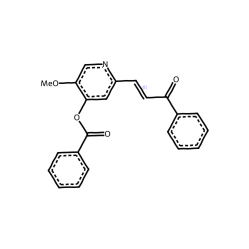 COc1cnc(/C=C/C(=O)c2ccccc2)cc1OC(=O)c1ccccc1